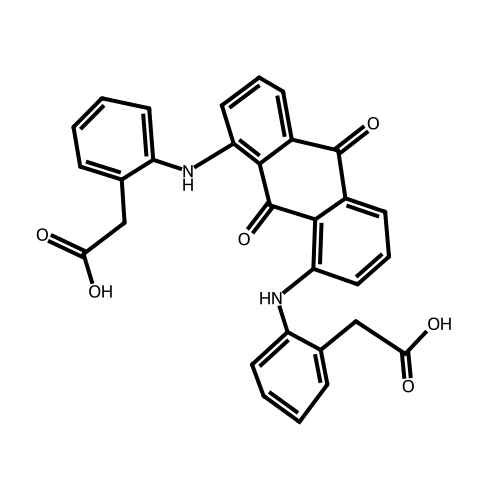 O=C(O)Cc1ccccc1Nc1cccc2c1C(=O)c1c(Nc3ccccc3CC(=O)O)cccc1C2=O